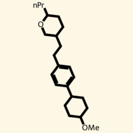 CCCC1CCC(CCc2ccc(C3CCC(OC)CC3)cc2)CO1